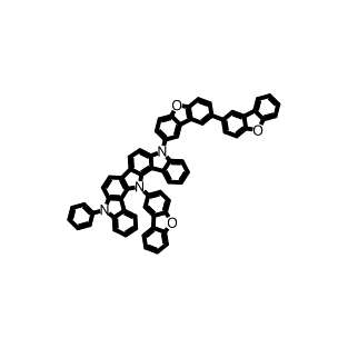 c1ccc(-n2c3ccccc3c3c2ccc2c4ccc5c(c6ccccc6n5-c5ccc6oc7ccc(-c8ccc9oc%10ccccc%10c9c8)cc7c6c5)c4n(-c4ccc5oc6ccccc6c5c4)c23)cc1